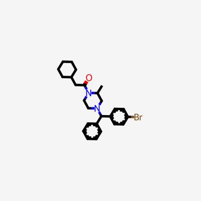 CC1CN(C(c2ccccc2)c2ccc(Br)cc2)CCN1C(=O)CC1CCCCC1